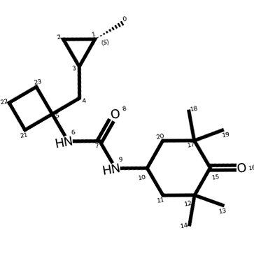 C[C@H]1CC1CC1(NC(=O)NC2CC(C)(C)C(=O)C(C)(C)C2)CCC1